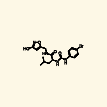 CC(C)C[C@H](NC(=O)Nc1ccc(Br)cc1)C(=O)NCc1cc(O)no1